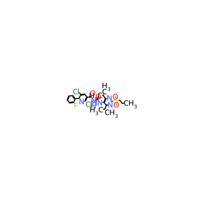 CCCS(=O)(=O)c1nc(C(C)C)c(NC(=O)NC(=O)c2cc(Cl)c(-c3ccccc3F)nc2Cl)c(C(C)C)n1